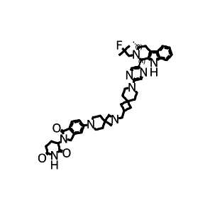 C[C@@H]1Cc2c([nH]c3ccccc23)[C@@H](c2cnc(N3CCC4(CC3)CC(CN3CC5(CCN(c6ccc7c(c6)CN(C6CCC(=O)NC6=O)C7=O)CC5)C3)C4)cn2)N1CC(C)(C)F